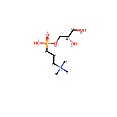 C[N+](C)(C)CCCP(=O)(O)OC[C@@H](O)CO